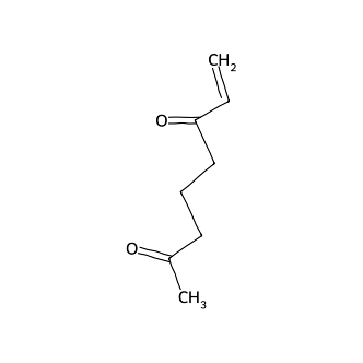 C=CC(=O)CCCC(C)=O